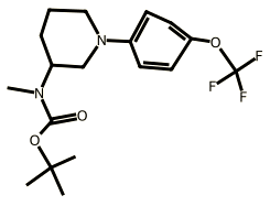 CN(C(=O)OC(C)(C)C)C1CCCN(c2ccc(OC(F)(F)F)cc2)C1